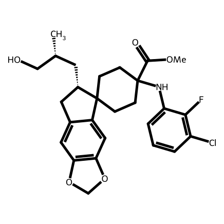 COC(=O)C1(Nc2cccc(Cl)c2F)CCC2(CC1)c1cc3c(cc1C[C@@H]2C[C@@H](C)CO)OCO3